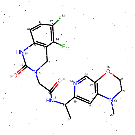 CC(NC(=O)CN1Cc2c(ccc(F)c2F)NC1=O)c1cc2c(cn1)OCCN2C